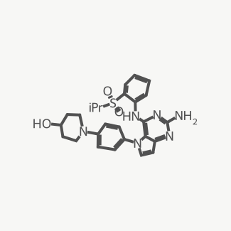 CC(C)S(=O)(=O)c1ccccc1Nc1nc(N)nc2ccn(-c3ccc(N4CCC(O)CC4)cc3)c12